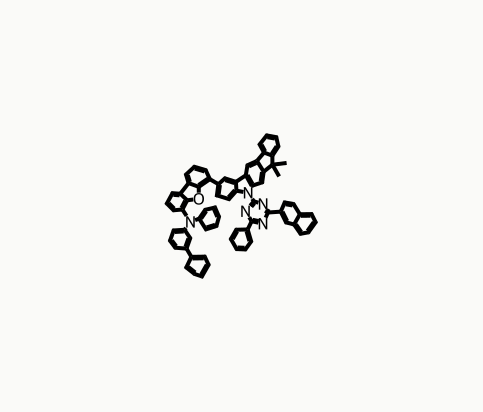 CC1(C)c2ccccc2-c2cc3c4cc(-c5cccc6c5oc5c(N(c7ccccc7)c7cccc(-c8ccccc8)c7)cccc56)ccc4n(-c4nc(-c5ccccc5)nc(-c5ccc6ccccc6c5)n4)c3cc21